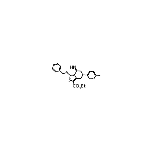 CCOC(=O)c1sc(SCc2ccccc2)c2c1CC(c1ccc(C)cc1)CC2=N